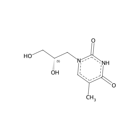 Cc1cn(C[C@H](O)CO)c(=O)[nH]c1=O